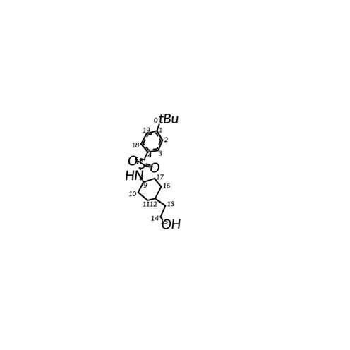 CC(C)(C)c1ccc(S(=O)(=O)NC2CCC(CCO)CC2)cc1